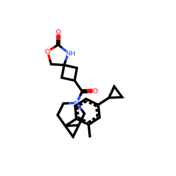 Cc1cc(C2CC2)ccc1C12CCN(C(=O)C3CC4(COC(=O)N4)C3)CC1C2